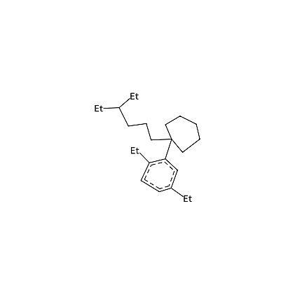 CCc1ccc(CC)c(C2(CCCC(CC)CC)CCCCC2)c1